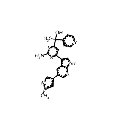 Cn1cc(-c2cnc3[nH]cc(-c4cc([C@@](C)(O)c5ccncc5)nc(N)n4)c3c2)cn1